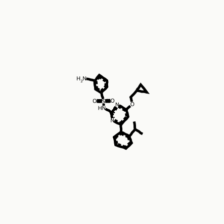 CC(C)c1ccccc1-c1cc(OCC2CC2)nc(NS(=O)(=O)c2cccc(N)c2)n1